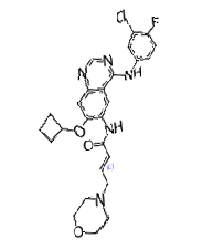 O=C(/C=C/CN1CCOCC1)Nc1cc2c(Nc3ccc(F)c(Cl)c3)ncnc2cc1OC1CCC1